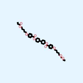 C=COCOCCCCCOc1ccc(C(=O)OC2CCC(C3CCC(OC(=O)c4ccc(OCCCCCOC(=O)C=C)cc4)CC3)CC2)cc1